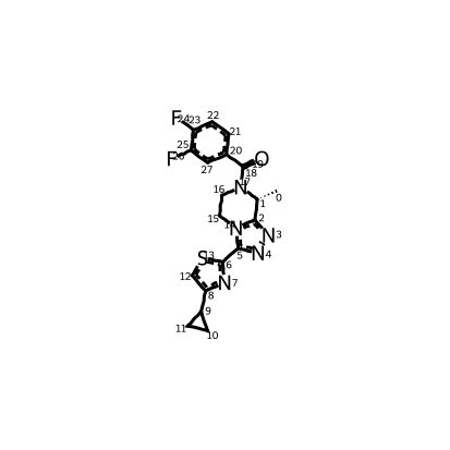 C[C@@H]1c2nnc(-c3nc(C4CC4)cs3)n2CCN1C(=O)c1ccc(F)c(F)c1